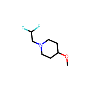 COC1CCN(CC(F)F)CC1